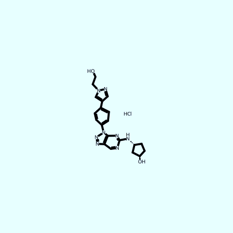 Cl.OCCn1cc(-c2ccc(-n3nnc4cnc(N[C@@H]5CC[C@@H](O)C5)nc43)cc2)cn1